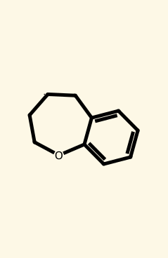 [CH]1CCOc2ccccc2C1